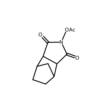 CC(=O)ON1C(=O)C2C3CCC(C3)C2C1=O